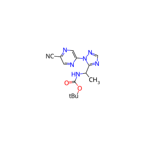 CC(NC(=O)OC(C)(C)C)c1ncnn1-c1cnc(C#N)cn1